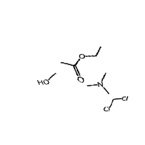 CCOC(C)=O.CN(C)C.CO.ClCCl